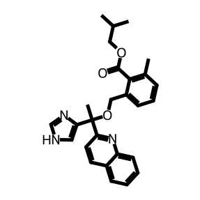 Cc1cccc(COC(C)(c2c[nH]cn2)c2ccc3ccccc3n2)c1C(=O)OCC(C)C